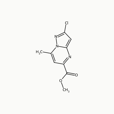 COC(=O)c1cc(C)n2nc(Cl)cc2n1